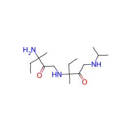 CCC(C)(N)C(=O)CNC(C)(CC)C(=O)CNC(C)C